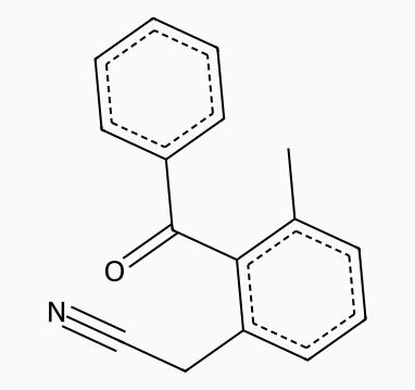 Cc1cccc(CC#N)c1C(=O)c1ccccc1